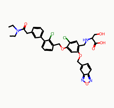 CCN(CC)C(=O)Cc1cccc(-c2cccc(COc3cc(OCc4ccc5nonc5c4)c(CNC(CO)C(=O)O)cc3Cl)c2Cl)c1